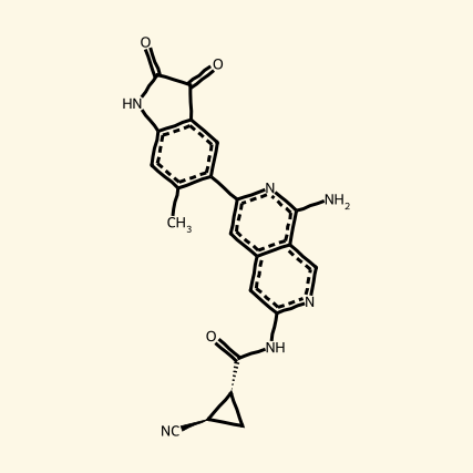 Cc1cc2c(cc1-c1cc3cc(NC(=O)[C@@H]4C[C@H]4C#N)ncc3c(N)n1)C(=O)C(=O)N2